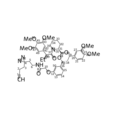 C#CCCC1(CCNC(=O)COc2cccc([C@@H](CCc3ccc(OC)c(OC)c3)OC(=O)[C@@H]3CCCCN3C(=O)[C@@H](CC)c3cc(OC)c(OC)c(OC)c3)c2)N=N1